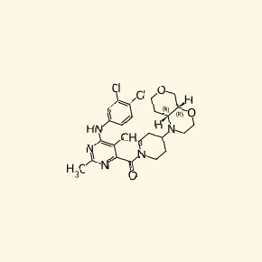 Cc1nc(Nc2ccc(Cl)c(Cl)c2)c(C)c(C(=O)N2CCC(N3CCO[C@H]4COCC[C@H]43)CC2)n1